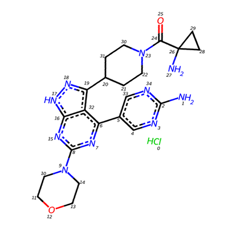 Cl.Nc1ncc(-c2nc(N3CCOCC3)nc3[nH]nc(C4CCN(C(=O)C5(N)CC5)CC4)c23)cn1